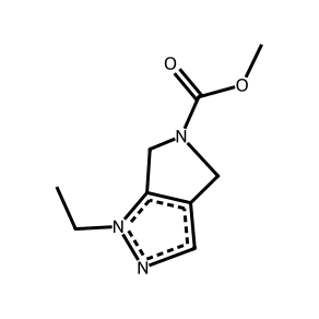 CCn1ncc2c1CN(C(=O)OC)C2